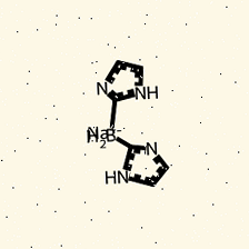 [BH2-](c1ncc[nH]1)c1ncc[nH]1.[Na+]